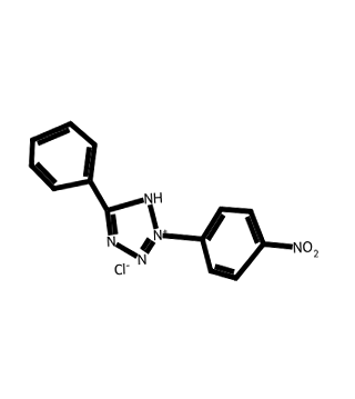 O=[N+]([O-])c1ccc(-[n+]2nnc(-c3ccccc3)[nH]2)cc1.[Cl-]